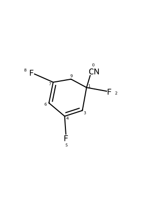 N#CC1(F)C=C(F)C=C(F)C1